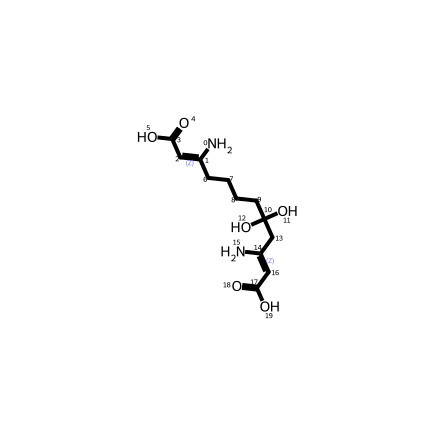 N/C(=C\C(=O)O)CCCCC(O)(O)C/C(N)=C/C(=O)O